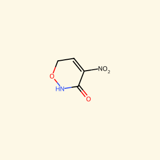 O=C1NOCC=C1[N+](=O)[O-]